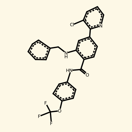 O=C(Nc1ccc(OC(F)(F)F)cc1)c1ccc(-c2ncccc2Cl)cc1NCc1ccccc1